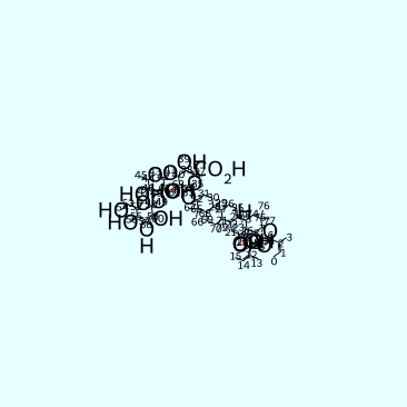 C/C=C(/C)C(=O)O[C@H]1[C@H](OC(=O)/C(C)=C\C)[C@]2(CO)[C@H](O)C[C@]3(C)C(=CCC4[C@@]5(C)CC[C@H](OC6OC(C(=O)O)C(O)C(OC7OC(C)C(O)C(OC8OC(CO)C(O)C(O)C8O)C7O)C6O)C(C)(C)C5CC[C@]43C)[C@@H]2CC1(C)C